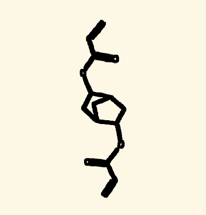 C=CC(=O)OC1CC2CC1CC2OC(=O)C=C